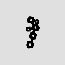 Clc1c(-c2ccc(-c3ccccc3)cc2)ccc2oc3ccccc3c12